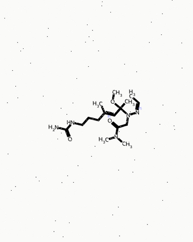 C/C=N\N(CC(=O)N(C)C)C(C)(/C=C(\C)CCCNC(N)=O)OC